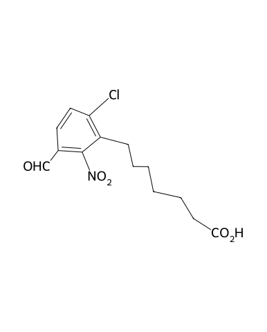 O=Cc1ccc(Cl)c(CCCCCCC(=O)O)c1[N+](=O)[O-]